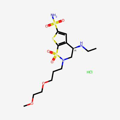 CCN[C@H]1CN(CCCOCCOC)S(=O)(=O)c2sc(S(N)(=O)=O)cc21.Cl